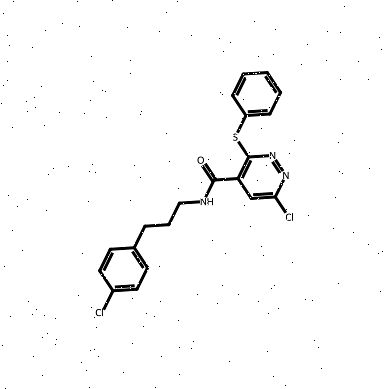 O=C(NCCCc1ccc(Cl)cc1)c1cc(Cl)nnc1Sc1ccccc1